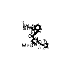 COc1cc(C(=O)C#CC2(C)CCCc3sc(/N=C/N(C)C)c(C#N)c32)nc(O[C@@H](C)[C@@H]2CCCN2C)n1